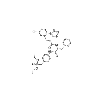 CCOP(=O)(Cc1ccc(NC(=O)[C@H](Cc2ccccc2)NC(=O)/C=C/c2cc(Cl)ccc2-n2cnnn2)cc1)OCC